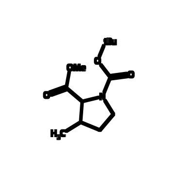 COC(=O)C1C(C)CCN1C(=O)OC(C)(C)C